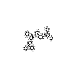 c1ccc(-c2cc(-c3cccc(-c4cccc(-c5nc(-c6ccccc6)nc(-c6ccc(N(c7ccccc7)c7ccccc7)cc6)n5)c4)c3)nc(-c3ccccc3)n2)cc1